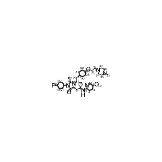 COc1ccc(NC(=O)CC2C(=O)N(c3ccc(F)cc3)C(=S)N2CCc2ccc(OCCN3CCN(C)CC3)cc2)nc1